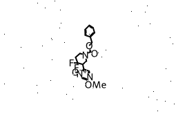 COc1c[n+]([O-])c(C2CN(C(=O)OCc3ccccc3)CCC2(F)F)cn1